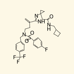 C=C(CCN(Cc1ccc(C(F)(F)F)cc1)S(=O)(=O)c1ccc(F)cc1)C1=NC2(CC2)C(C(=O)NCC2CCC2)N1